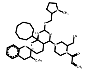 C=CC(=O)N1CCN(C2NC(OCC3CCCN3C)NC3(C4CCCCCCC4)C[C@@]4(CCC23)Sc2ccccc2CC4OC)CC1CC#N